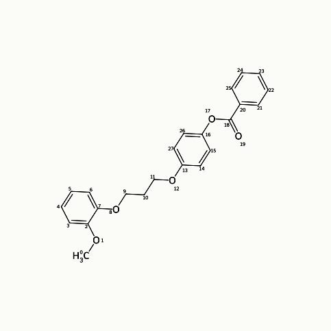 COc1ccccc1OCCCOc1ccc(OC(=O)c2ccccc2)cc1